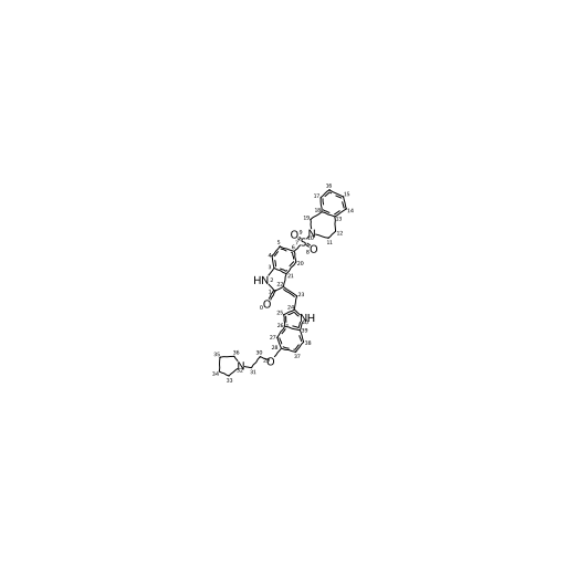 O=C1Nc2ccc(S(=O)(=O)N3CCc4ccccc4C3)cc2C1=Cc1cc2cc(OCCN3CCCC3)ccc2[nH]1